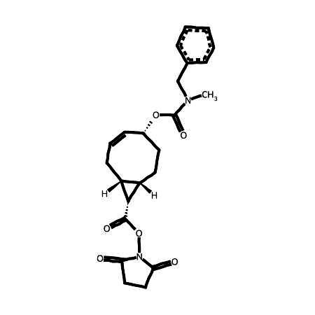 CN(Cc1ccccc1)C(=O)O[C@H]1/C=C\C[C@@H]2[C@H](CC1)[C@@H]2C(=O)ON1C(=O)CCC1=O